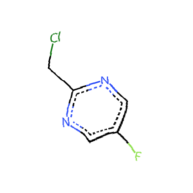 Fc1cnc(CCl)nc1